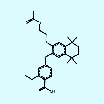 CCc1cc([Se]c2cc3c(cc2OCCOC(C)=O)C(C)(C)CCC3(C)C)ccc1C(=O)O